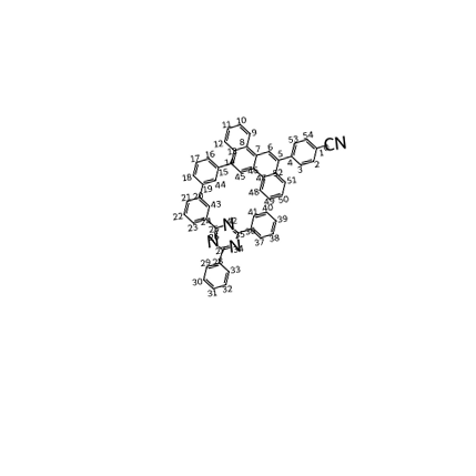 N#Cc1ccc(-c2cc3c4ccccc4c(-c4cccc(-c5cccc(-c6nc(-c7ccccc7)nc(-c7ccccc7)n6)c5)c4)cc3c3ccccc23)cc1